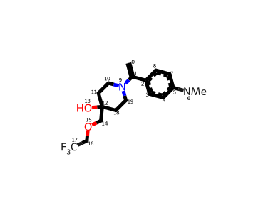 C=C(c1ccc(NC)cc1)N1CCC(O)(COCC(F)(F)F)CC1